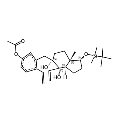 C=Cc1ccc(OC(C)=O)cc1C[C@@]1(O)CC[C@]2(C)[C@@H](O[Si](C)(C)C(C)(C)C)CC[C@H]2[C@@]1(O)C=C